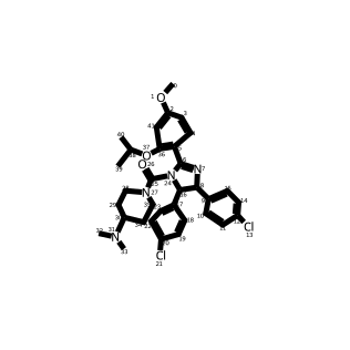 COc1ccc(C2=NC(c3ccc(Cl)cc3)C(c3ccc(Cl)cc3)N2C(=O)N2CCC(N(C)C)CC2)c(OC(C)C)c1